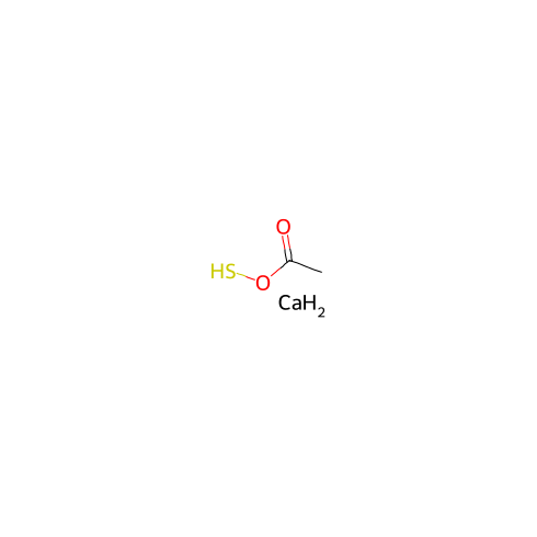 CC(=O)OS.[CaH2]